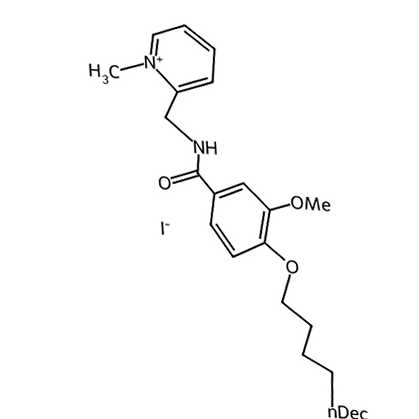 CCCCCCCCCCCCCCOc1ccc(C(=O)NCc2cccc[n+]2C)cc1OC.[I-]